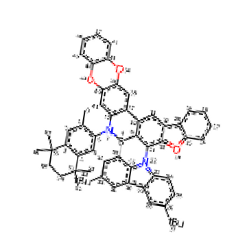 Cc1cc2c(cc1N1B3c4c(cc5c(oc6ccccc65)c4-n4c5ccc(C(C)(C)C)cc5c5cc(C(C)(C)C)cc3c54)-c3cc4c(cc31)Oc1ccccc1O4)C(C)(C)CCC2(C)C